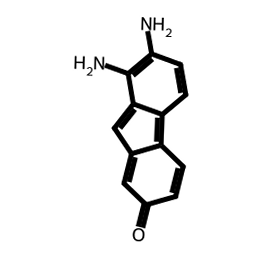 Nc1ccc2c(c1N)=CC1=CC(=O)C=CC=21